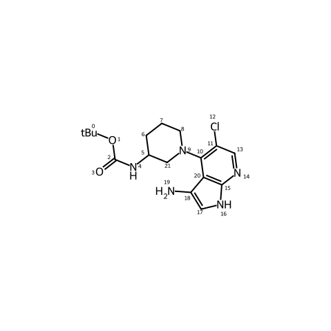 CC(C)(C)OC(=O)NC1CCCN(c2c(Cl)cnc3[nH]cc(N)c23)C1